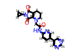 O=C(CN1CCCC2=C1C(=O)N(C1CC1)C2=O)Nc1ccc(-c2cncnc2)cn1